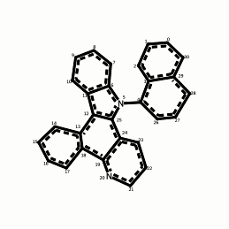 c1ccc2c(-n3c4ccccc4c4c5ccccc5c5ncccc5c43)cccc2c1